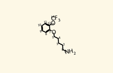 NCCCCCOc1ccccc1OC(F)(F)F